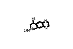 CCC1CN(N=O)Cc2cc3nccnc3cc21